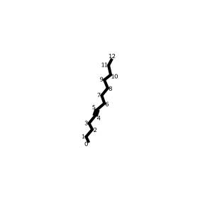 CCCCC#CCCCCCCC